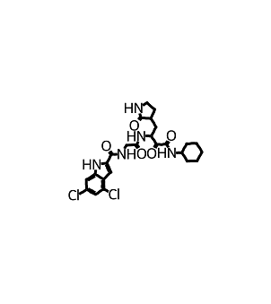 O=C(CNC(=O)c1cc2c(Cl)cc(Cl)cc2[nH]1)NC(CC1CCNC1=O)C(=O)C(=O)NC1CCCCC1